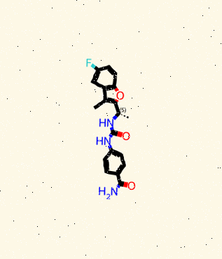 Cc1c([C@H](C)NC(=O)Nc2ccc(C(N)=O)cc2)oc2ccc(F)cc12